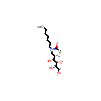 CCCCCCCCCCCCCCCCN(C[C@H](O)[C@@H](O)[C@H](O)[C@H](O)CO)C(=O)CC